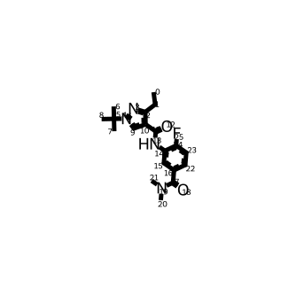 CCc1nn(C(C)(C)C)cc1C(=O)Nc1cc(C(=O)N(C)C)ccc1F